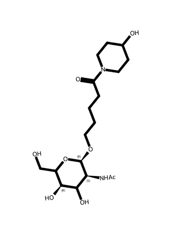 CC(=O)N[C@H]1C(O)[C@@H](O)C(CO)O[C@H]1OCCCCC(=O)N1CCC(O)CC1